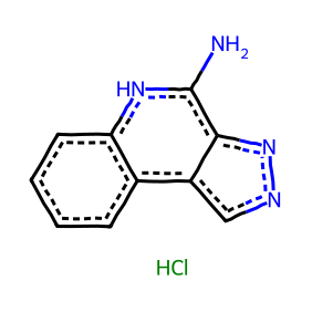 Cl.Nc1[nH]c2ccccc2c2cnnc1-2